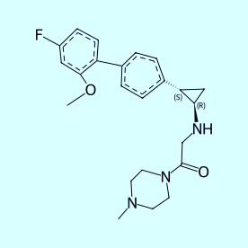 COc1cc(F)ccc1-c1ccc([C@@H]2C[C@H]2NCC(=O)N2CCN(C)CC2)cc1